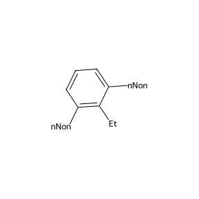 [CH2]Cc1c(CCCCCCCCC)cccc1CCCCCCCCC